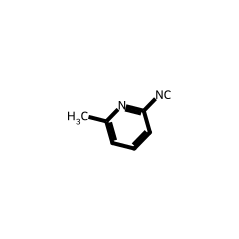 [C-]#[N+]c1cccc(C)n1